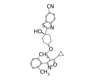 Cc1cccc(C)c1-c1noc(C2CC2)c1CO[C@H]1CC[C@](O)(c2nc3ccc(C#N)cc3s2)CC1